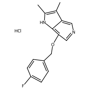 Cc1[nH]c2c(OCc3ccc(F)cc3)cncc2c1C.Cl